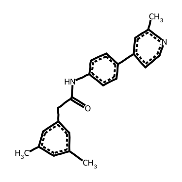 Cc1cc(C)cc(CC(=O)Nc2ccc(-c3ccnc(C)c3)cc2)c1